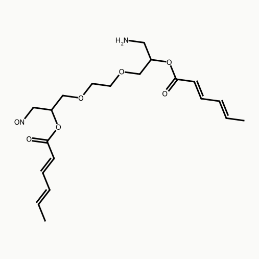 C/C=C/C=C/C(=O)OC(CN)COCCOCC(CN=O)OC(=O)/C=C/C=C/C